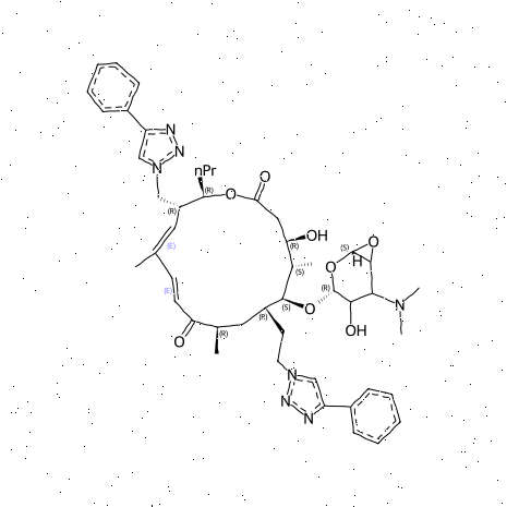 CCC[C@H]1OC(=O)C[C@@H](O)[C@H](C)[C@@H](O[C@@H]2O[C@@H]3OC3C(N(C)C)C2O)[C@@H](CCn2cc(-c3ccccc3)nn2)C[C@@H](C)C(=O)/C=C/C(C)=C/[C@@H]1Cn1cc(-c2ccccc2)nn1